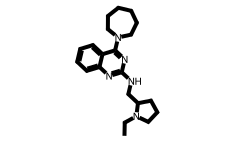 CCN1CCCC1CNc1nc(N2CCCCCC2)c2ccccc2n1